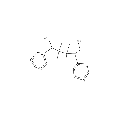 CC(C)(C)CC(c1ccncc1)C(C)(C)C(C)(C)C(c1ccccc1)C(C)(C)C